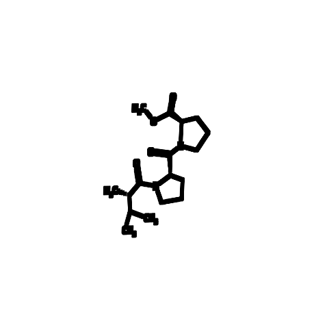 COC(=O)[C@H]1CCCN1C(=O)[C@H]1CCCN1C(=O)[C@@H](C)C(C)C